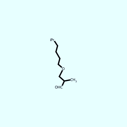 CC(C)CCCCOCC(C)C=O